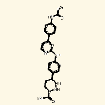 CCCC(=O)Nc1ccc(-c2ccnc(Nc3ccc(C4CCN(C(=O)CCC)NN4)cc3)n2)cc1